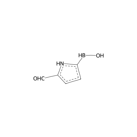 O=Cc1ccc(BO)[nH]1